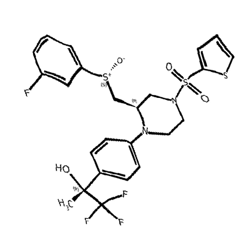 C[C@@](O)(c1ccc(N2CCN(S(=O)(=O)c3cccs3)C[C@@H]2C[S@@+]([O-])c2cccc(F)c2)cc1)C(F)(F)F